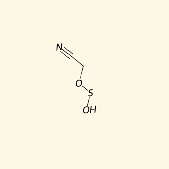 N#CCOSO